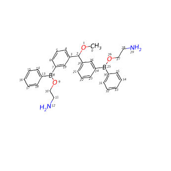 COC(c1cccc(B(OCCN)c2ccccc2)c1)c1cccc(B(OCCN)c2ccccc2)c1